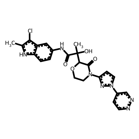 Cc1[nH]c2ccc(NC(=O)C(C)(O)C3OCCN(c4ccn(-c5ccnnc5)n4)C3=O)cc2c1Cl